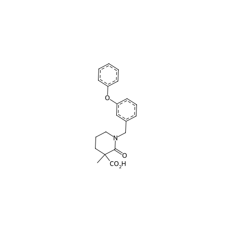 CC1(C(=O)O)CCCN(Cc2cccc(Oc3ccccc3)c2)C1=O